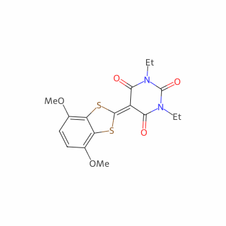 CCN1C(=O)C(=C2Sc3c(OC)ccc(OC)c3S2)C(=O)N(CC)C1=O